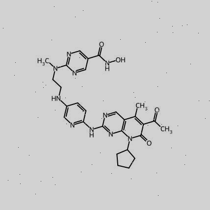 CC(=O)c1c(C)c2cnc(Nc3ccc(NCCN(C)c4ncc(C(=O)NO)cn4)cn3)nc2n(C2CCCC2)c1=O